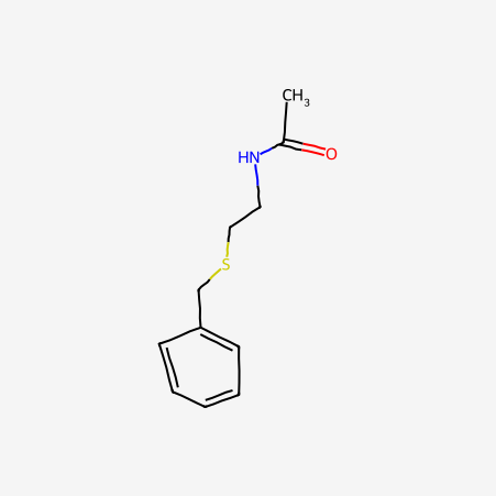 CC(=O)NCCSCc1ccccc1